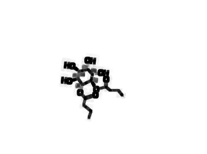 CCCC(=O)O[C@@H]1[C@@H](O)[C@@H](O)[C@H](O)[C@H](O)[C@H]1OC(=O)CCC